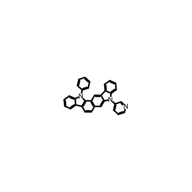 c1ccc(-n2c3ccccc3c3ccc4cc5c(cc4c32)c2ccccc2n5-c2cccnc2)cc1